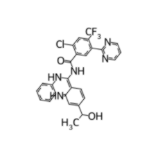 CC(O)C1=CC(=N)/C(=C(/NC(=O)c2cc(-c3ncccn3)c(C(F)(F)F)cc2Cl)Nc2ccccc2)C=C1